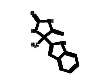 CC1(c2cc3ccccc3[nH]2)NC(=O)NC1=O